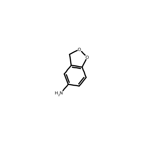 Nc1ccc2c(c1)COO2